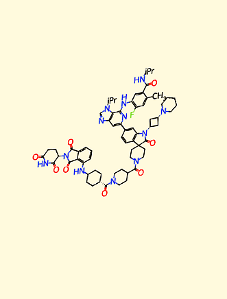 Cc1cc(F)c(Nc2nc(-c3ccc4c(c3)N([C@H]3C[C@@H](N5CCCCC5)C3)C(=O)C43CCN(C(=O)C4CCN(C(=O)[C@H]5CC[C@H](Nc6cccc7c6C(=O)N(C6CCC(=O)NC6=O)C7=O)CC5)CC4)CC3)cc3ncn(C(C)C)c23)cc1C(=O)NC(C)C